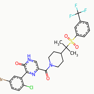 CC(C)(C1CCN(C(=O)c2c[nH]c(=O)c(-c3cc(Br)ccc3Cl)n2)CC1)S(=O)(=O)c1cccc(C(F)(F)F)c1